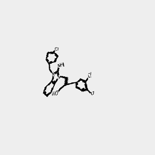 N=c1n(Cc2ccc(Cl)cc2)c2ccccc2n1CC(O)c1ccc(Cl)c(Cl)c1